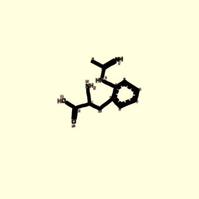 CC(=N)Nc1ccccc1CC(N)C(=O)O